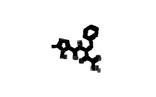 CC(=O)n1c(C(=O)NC(Cc2ccccc2)C(=O)C(N)=O)cnc1C